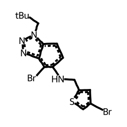 CC(C)(C)Cn1nnc2c(Br)c(NCc3cc(Br)cs3)ccc21